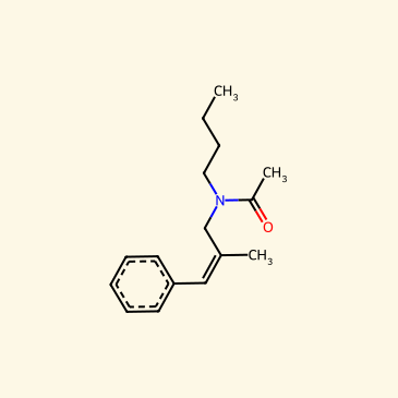 CCCCN(C/C(C)=C\c1ccccc1)C(C)=O